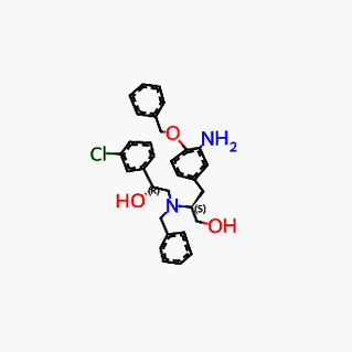 Nc1cc(C[C@@H](CO)N(Cc2ccccc2)C[C@H](O)c2cccc(Cl)c2)ccc1OCc1ccccc1